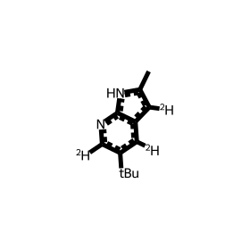 [2H]c1nc2[nH]c(C)c([2H])c2c([2H])c1C(C)(C)C